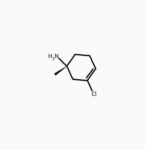 C[C@@]1(N)CCC=C(Cl)C1